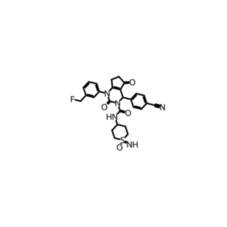 N#Cc1ccc(C2C3=C(CCC3=O)N(c3cccc(CF)c3)C(=O)N2C(=O)NC2CCS(=N)(=O)CC2)cc1